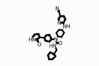 N#Cc1ccc(N[C@H]2CC[C@H](N(C(=O)NCc3ccccc3)c3ccc(-c4ccc[nH]c4=O)cc3)CC2)nc1